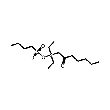 CCCCCC(=O)CS(CC)(CC)OS(=O)(=O)CCCC